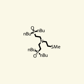 CCCCP(=O)(CCCC)CCN(CCSC)CCP(=O)(CCCC)CCCC